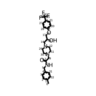 Cc1ccc(CNC(=O)CN2CCN(C[C@H](O)COc3ccc(C(F)(F)F)cc3)CC2)cc1